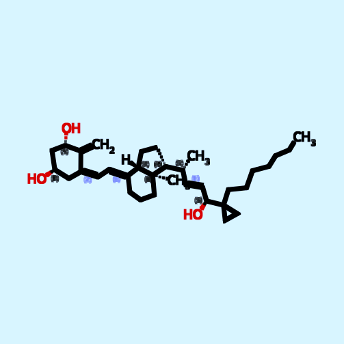 C=C1/C(=C\C=C2/CCC[C@]3(C)[C@@H]([C@H](C)/C=C/[C@H](O)C4(CCCCCCC)CC4)CC[C@@H]23)C[C@@H](O)C[C@@H]1O